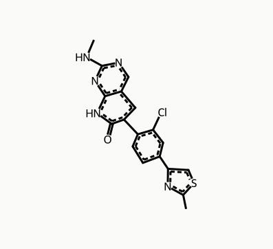 CNc1ncc2cc(-c3ccc(-c4csc(C)n4)cc3Cl)c(=O)[nH]c2n1